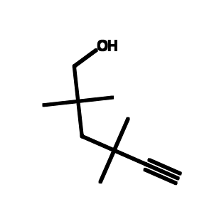 C#CC(C)(C)CC(C)(C)CO